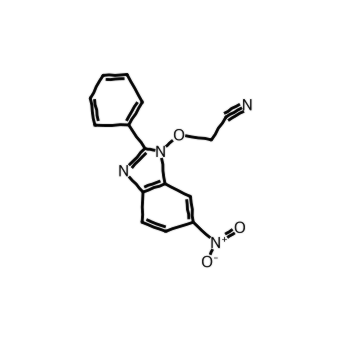 N#CCOn1c(-c2ccccc2)nc2ccc([N+](=O)[O-])cc21